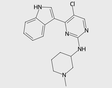 CN1CCCC(Nc2ncc(Cl)c(-c3c[nH]c4ccccc34)n2)C1